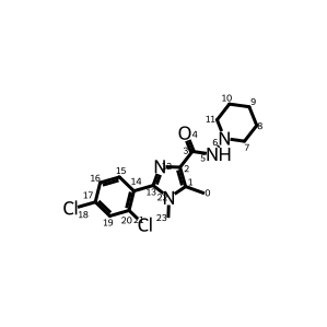 Cc1c(C(=O)NN2CCCCC2)nc(-c2ccc(Cl)cc2Cl)n1C